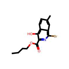 CCCCOC(=O)c1nc(Br)c2cc(C)ccc2c1O